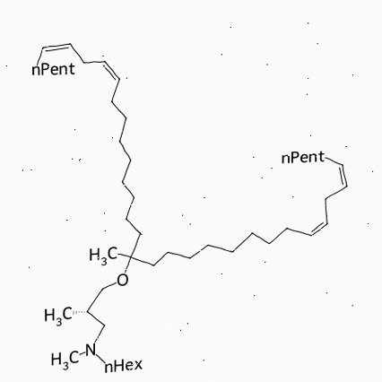 CCCCC/C=C\C/C=C\CCCCCCCCC(C)(CCCCCCCC/C=C\C/C=C\CCCCC)OC[C@@H](C)CN(C)CCCCCC